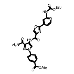 COC(=O)c1ccc(-n2cc(NC(=O)c3coc(-c4ccnc(NC(=O)OC(C)(C)C)c4)n3)c(C(N)=O)n2)cc1